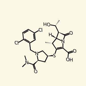 C[C@@H](O)[C@H]1C(=O)N2C(C(=O)O)=C(S[C@H]3C[C@@H](C(=O)N(C)C)N(Cc4cc(Cl)ccc4Cl)C3)[C@H](C)[C@H]12